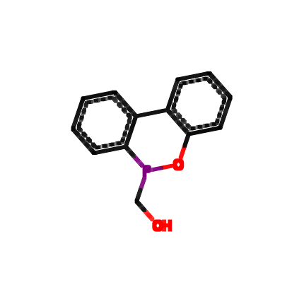 OCP1Oc2ccccc2-c2ccccc21